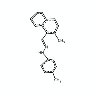 Cc1ccc(N/N=C/c2c(C)ccc3ccccc23)cc1